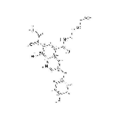 CCOCCNC(=O)c1cc(C(=O)OC)c(O)c2ncc(Cc3ccc(F)cc3)cc12